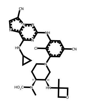 CN(C(=O)O)[C@H]1CCN(c2cc(C#N)cc(Nc3nc(NC4CC4)c4ncc(C#N)n4n3)c2Cl)C[C@H]1NC1(C)COC1